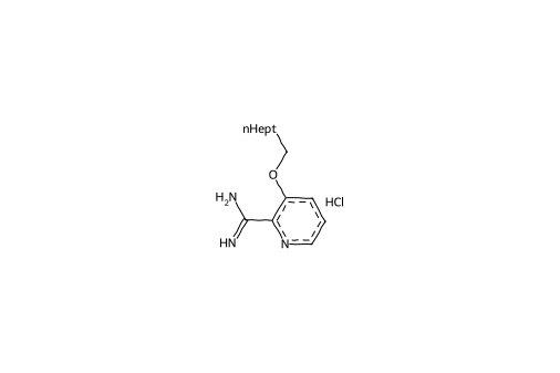 CCCCCCCCOc1cccnc1C(=N)N.Cl